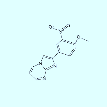 COc1ccc(-c2cn3cccnc3n2)cc1[N+](=O)[O-]